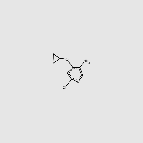 Nc1cnc(Cl)cc1OC1CC1